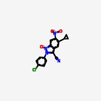 N#Cc1c2cc(C3CC3)c([N+](=O)[O-])cc2[n+]([O-])n1-c1ccc(Cl)cc1